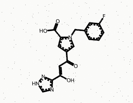 O=C(C=C(O)c1nc[nH]n1)c1cc(C(=O)O)n(Cc2cccc(F)c2)c1